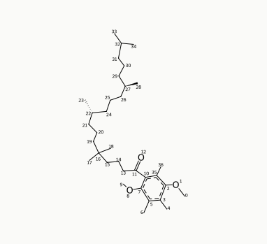 COc1c(C)c(C)c(OC)c(C(=O)CCCC(C)(C)CCC[C@H](C)CCC[C@H](C)CCCC(C)C)c1C